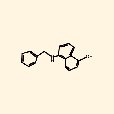 Oc1cccc2c(NCc3ccccc3)cccc12